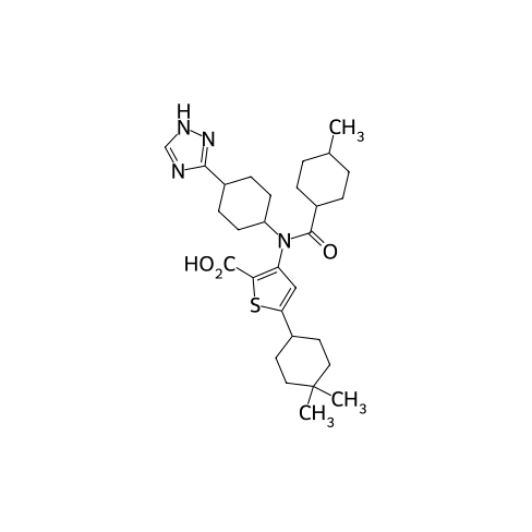 CC1CCC(C(=O)N(c2cc(C3CCC(C)(C)CC3)sc2C(=O)O)C2CCC(c3nc[nH]n3)CC2)CC1